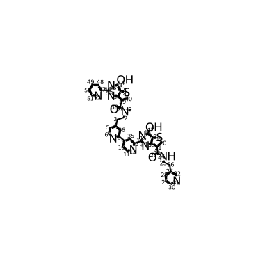 CN(CCc1ccnc(-c2ccnc(-c3nc(O)c4scc(C(=O)NCCc5cccnc5)c4n3)c2)c1)C(=O)c1csc2c(O)nc(-c3ccccn3)nc12